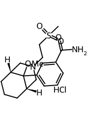 COC1(c2cccc(C(N)=O)c2)[C@@H]2CCC[C@H]1CN(CCS(C)(=O)=O)C2.Cl